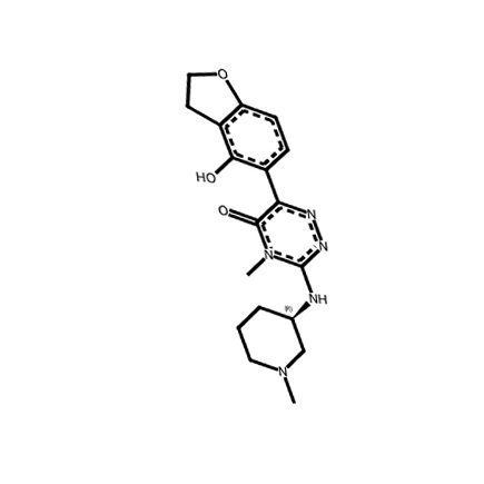 CN1CCC[C@@H](Nc2nnc(-c3ccc4c(c3O)CCO4)c(=O)n2C)C1